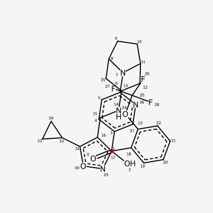 O=C(O)c1ccc(N2C3CCC2CC(NCc2c(-c4ccccc4OC(F)(F)F)noc2C2CC2)C3)nc1